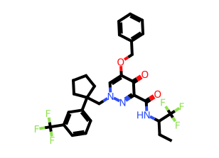 CCC(NC(=O)c1nn(CC2(c3cccc(C(F)(F)F)c3)CCCC2)cc(OCc2ccccc2)c1=O)C(F)(F)F